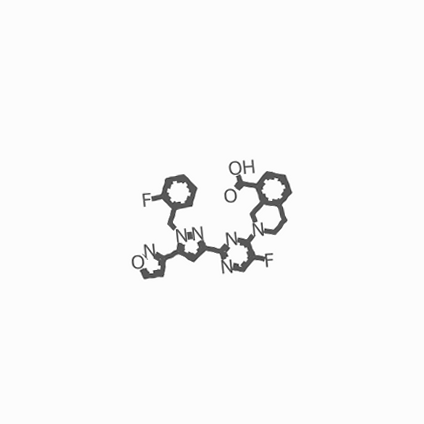 O=C(O)c1cccc2c1CN(c1nc(-c3cc(-c4ccon4)n(Cc4ccccc4F)n3)ncc1F)CC2